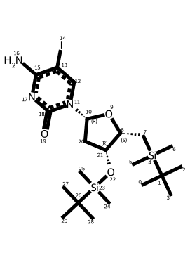 CC(C)(C)[Si](C)(C)C[C@H]1O[C@@H](n2cc(I)c(N)nc2=O)C[C@H]1O[Si](C)(C)C(C)(C)C